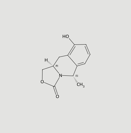 C[C@H]1c2cccc(O)c2C[C@@H]2COC(=O)N21